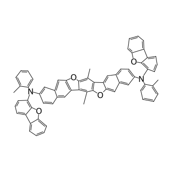 Cc1ccccc1N(c1ccc2cc3c(cc2c1)oc1c(C)c2c(oc4cc5cc(N(c6ccccc6C)c6cccc7c6oc6ccccc67)ccc5cc42)c(C)c13)c1cccc2c1oc1ccccc12